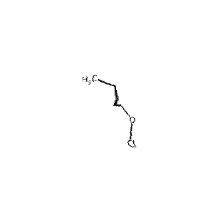 CCCOCl